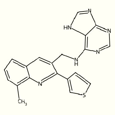 Cc1cccc2cc(CNc3ncnc4nc[nH]c34)c(-c3ccsc3)nc12